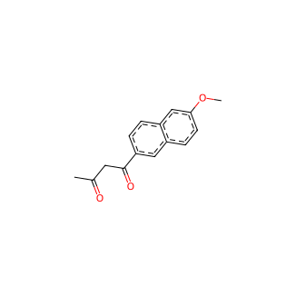 COc1ccc2cc(C(=O)CC(C)=O)ccc2c1